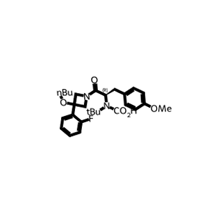 CCCCOC1(c2ccccc2F)CN(C(=O)[C@@H](Cc2ccc(OC)cc2)N(C(=O)O)C(C)(C)C)C1